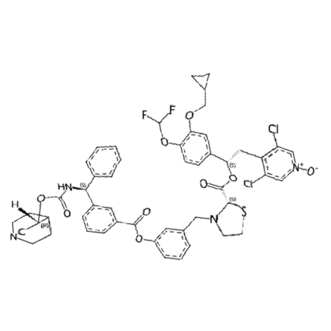 O=C(N[C@@H](c1ccccc1)c1cccc(C(=O)Oc2cccc(CN3CCS[C@H]3C(=O)O[C@@H](Cc3c(Cl)c[n+]([O-])cc3Cl)c3ccc(OC(F)F)c(OCC4CC4)c3)c2)c1)O[C@H]1CN2CCC1CC2